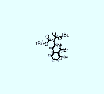 CC(C)(C)OC(=O)N(C(=O)OC(C)(C)C)c1cc2cccc(I)c2c(Br)n1